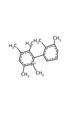 Cc1cccc(-c2c(C)c(C)cc(C)[n+]2C)c1C